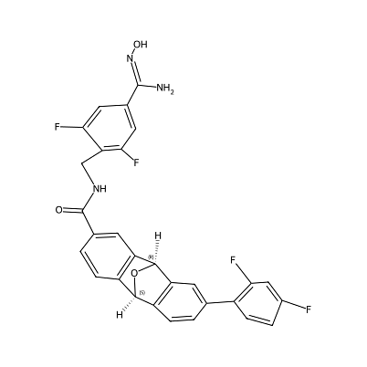 NC(=NO)c1cc(F)c(CNC(=O)c2ccc3c(c2)[C@@H]2O[C@H]3c3ccc(-c4ccc(F)cc4F)cc32)c(F)c1